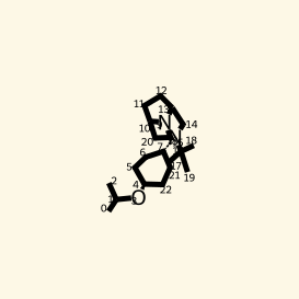 CC(C)O[C@H]1CC[C@H](CN2C3CCC2CN(C(C)(C)C)C3)CC1